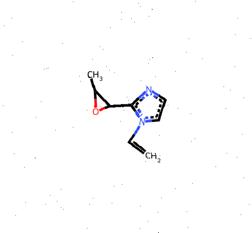 C=Cn1ccnc1C1OC1C